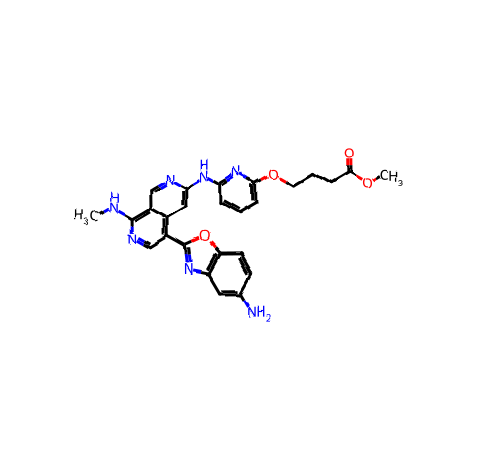 CNc1ncc(-c2nc3cc(N)ccc3o2)c2cc(Nc3cccc(OCCCC(=O)OC)n3)ncc12